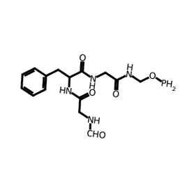 O=CNCC(=O)NC(Cc1ccccc1)C(=O)NCC(=O)NCOP